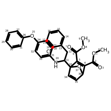 COC(=O)C1=C(C(=O)OC)C2(C(Cc3ccccc3Cl)Nc3ccc(Oc4ccccc4)cc3)C=CC1O2